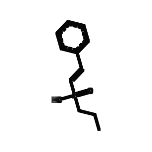 CCCP(=O)(O)C=Cc1ccccc1